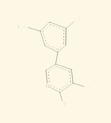 Cc1cc(Cl)cc(-c2cnc(C(C)C)c(C(F)(F)F)c2)c1